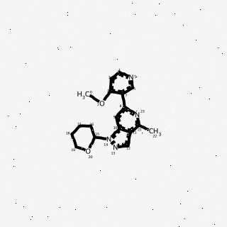 COc1ccncc1-c1cc2c(cnn2C2CCCCO2)c(C)n1